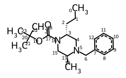 CCC[C@@H]1CN(Cc2ccccc2)[C@@H](C)CN1C(=O)OC(C)(C)C